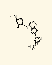 Cn1cnc(-c2cc3nccc(Nc4ccc(N=O)cc4F)c3s2)c1